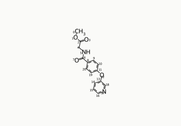 COC(=O)CNC(=O)c1ccc(Oc2cccnc2)cc1